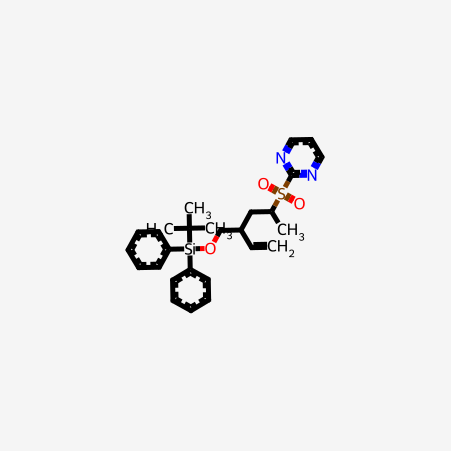 C=CC(CO[Si](c1ccccc1)(c1ccccc1)C(C)(C)C)CC(C)S(=O)(=O)c1ncccn1